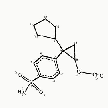 CS(=O)(=O)c1ccc(C2(C3CCCC3)CC2OC=O)cc1